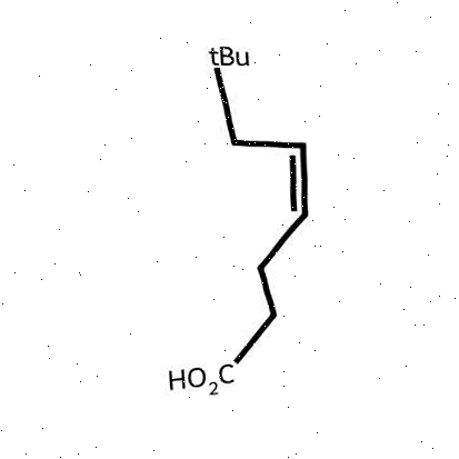 CC(C)(C)C/C=C\CCC(=O)O